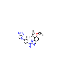 COC1=C(C(C)C)c2nc(Nc3ccc(N4CCC(N)C4)cc3)ncc2CC1